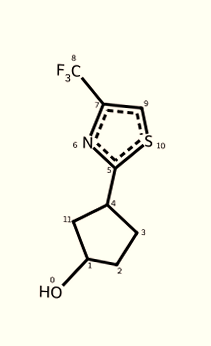 OC1CCC(c2nc(C(F)(F)F)cs2)C1